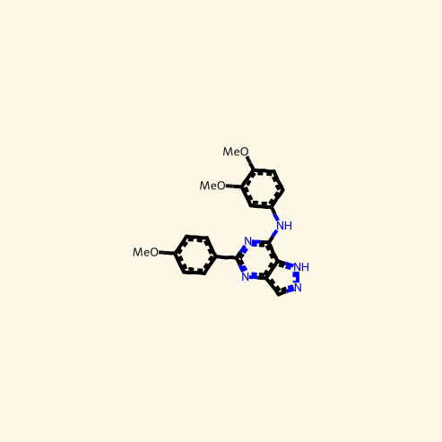 COc1ccc(-c2nc(Nc3ccc(OC)c(OC)c3)c3[nH]ncc3n2)cc1